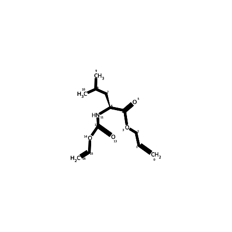 C=CCOC(=O)[C@H](CC(C)C)NC(=O)OC=C